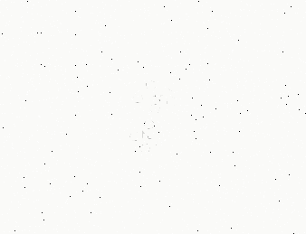 c1ccc(-c2c(-c3ccccc3)n(-c3cccc4ccccc34)c3ccc(-c4ccc(N(c5ccccc5)c5cccc6ccccc56)cc4)cc23)cc1